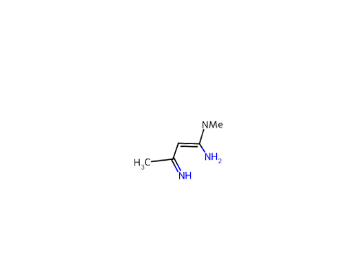 CN/C(N)=C/C(C)=N